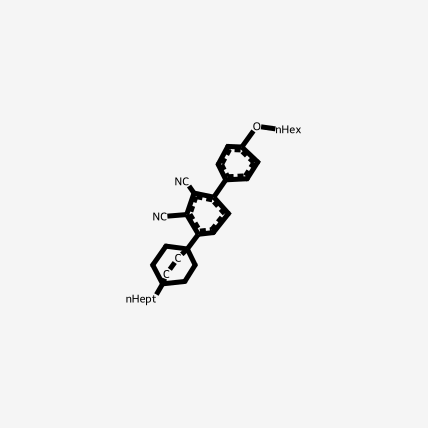 CCCCCCCC12CCC(c3ccc(-c4ccc(OCCCCCC)cc4)c(C#N)c3C#N)(CC1)CC2